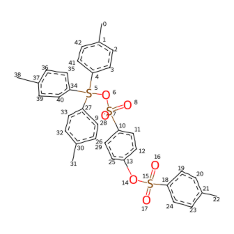 Cc1ccc(S(OS(=O)(=O)c2ccc(OS(=O)(=O)c3ccc(C)cc3)cc2)(c2ccc(C)cc2)c2ccc(C)cc2)cc1